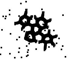 Fc1cc(F)c(F)c(-c2c3cccc(F)c3c(-c3c(F)c(F)c(F)c(F)c3F)c3c(F)c(F)c(F)c(F)c23)c1F